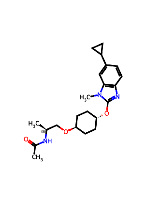 CC(=O)N[C@@H](C)CO[C@H]1CC[C@H](Oc2nc3ccc(C4CC4)cc3n2C)CC1